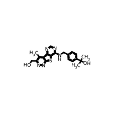 Cc1c(CO)nnc2sc3c(NCc4ccc(C(C)(C)O)cc4)ncnc3c12